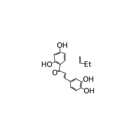 C=CCC.O=C(/C=C/c1ccc(O)c(O)c1)c1ccc(O)cc1O